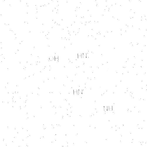 N=C(N)/C=C\NCC1(O)CC1